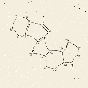 c1cc2c(c3c1CCCC3)SC1CCC3CCCCC3C21